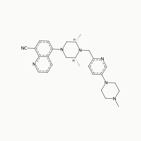 C[C@@H]1CN(c2ccc(C#N)c3ncccc23)C[C@H](C)N1Cc1ccc(N2CCN(C)CC2)cn1